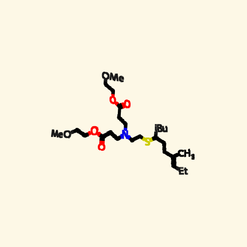 CC/C=C(\C)CCC(SCCN(CCC(=O)OCCOC)CCC(=O)OCCOC)C(C)CC